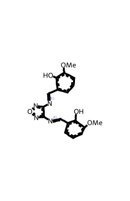 COc1cccc(/C=N/c2nonc2/N=C/c2cccc(OC)c2O)c1O